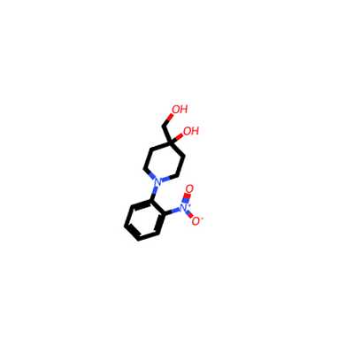 O=[N+]([O-])c1ccccc1N1CCC(O)(CO)CC1